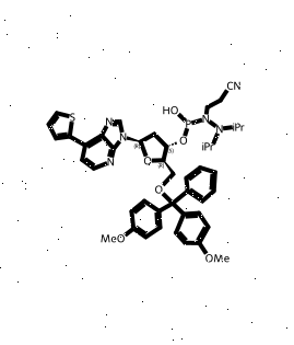 COc1ccc(C(OC[C@H]2O[C@@H](n3cnc4c(-c5cccs5)ccnc43)C[C@@H]2OP(O)N(CCC#N)N(C(C)C)C(C)C)(c2ccccc2)c2ccc(OC)cc2)cc1